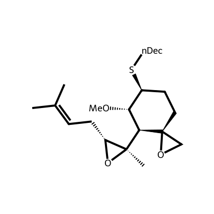 CCCCCCCCCCS[C@H]1CC[C@]2(CO2)[C@@H]([C@@]2(C)O[C@@H]2CC=C(C)C)[C@@H]1OC